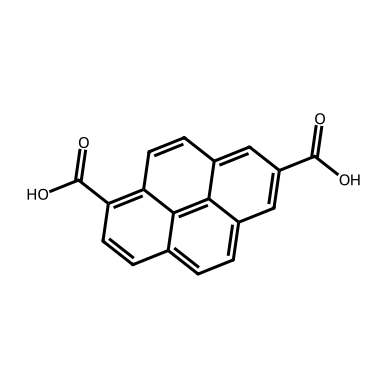 O=C(O)c1cc2ccc3ccc(C(=O)O)c4ccc(c1)c2c34